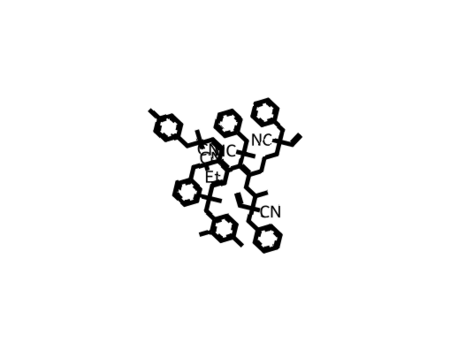 C=CC(C#N)(CCCC(CC(C)C(C#N)(C=C)Cc1ccccc1)=C(C(C=CC(C)(C)Cc1ccc(C)cc1C)=C(C=CC(C)(C#N)Cc1ccc(C)cc1)C(C#N)(CC)Cc1ccccc1)C(C)(C#N)Cc1ccccc1)Cc1ccccc1